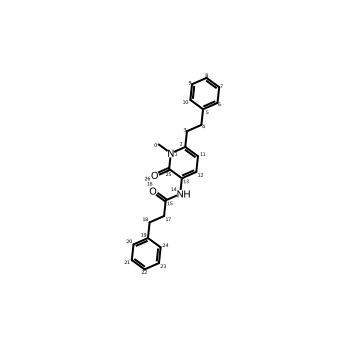 Cn1c(CCc2ccccc2)ccc(NC(=O)CCc2ccccc2)c1=O